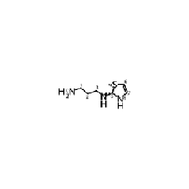 NCCCN[C]1NC=CS1